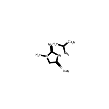 CC(N)C(=O)O.CN1CC(=O)NC1=N.[NaH]